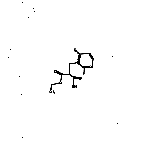 CCOC(=O)C(Cc1c(F)cccc1F)C(=O)O